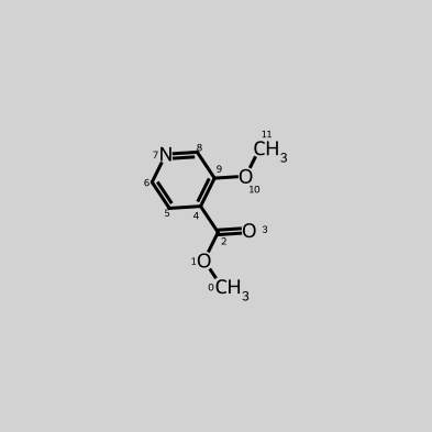 COC(=O)c1ccncc1OC